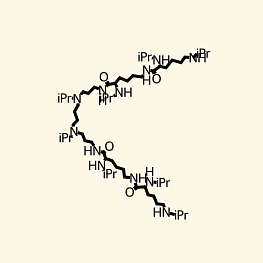 CC(C)NCCCCC(NC(C)C)C(=O)NCCCCC(NC(C)C)C(=O)NCCCN(CCCCN(CCCNC(=O)C(CCCCNC(=O)C(CCCCNC(C)C)NC(C)C)NC(C)C)C(C)C)C(C)C